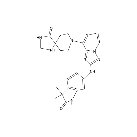 CC1(C)C(=O)Nc2cc(Nc3nc4c(N5CCC6(CC5)NCNC6=O)nccn4n3)ccc21